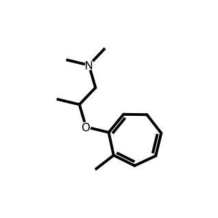 CC1=CC=CCC=C1OC(C)CN(C)C